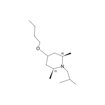 CCCCOC1C[C@@H](C)N(CC(C)C)[C@@H](C)C1